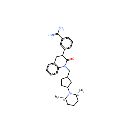 C[C@@H]1CCC[C@H](C)N1C1CCC(CN2C(=O)C(c3cccc(C(=N)N)c3)Cc3ccccc32)C1